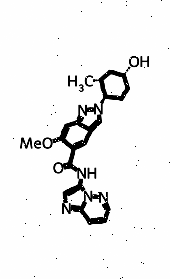 COc1cc2nn([C@@H]3CC[C@@H](O)C[C@H]3C)cc2cc1C(=O)Nc1cnc2cccnn12